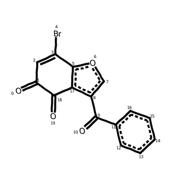 O=C1C=C(Br)c2occ(C(=O)c3ccccc3)c2C1=O